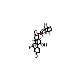 C[C@@H]1C[C@H]2[C@@H]3C[C@H](F)C4=CC(=O)C=C[C@]4(C)C3(F)[C@@H](O)C[C@]2(C)[C@]1(OC(=O)O[C@H]1C(C)(C)[C@H]2CC[C@]1(C)C2)C(=O)OCC#N